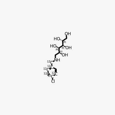 OC[C@@H](O)[C@@H](O)[C@H](O)[C@@H](O)CN[12CH2][12c]1c[12cH][12c](Cl)[12cH][12cH]1